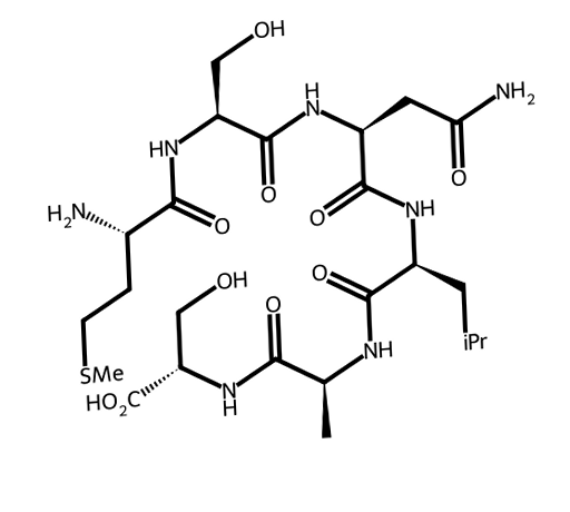 CSCC[C@H](N)C(=O)N[C@@H](CO)C(=O)N[C@@H](CC(N)=O)C(=O)N[C@@H](CC(C)C)C(=O)N[C@@H](C)C(=O)N[C@@H](CO)C(=O)O